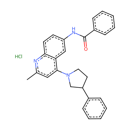 Cc1cc(N2CCC(c3ccccc3)C2)c2cc(NC(=O)c3ccccc3)ccc2n1.Cl